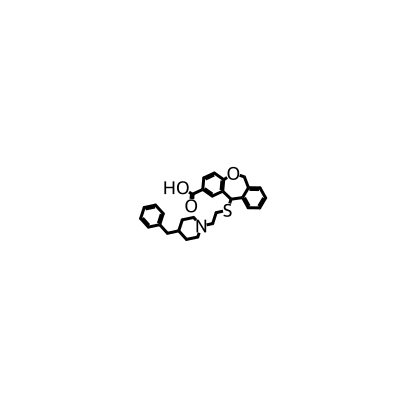 O=C(O)c1ccc2c(c1)C(SCCN1CCC(Cc3ccccc3)CC1)c1ccccc1CO2